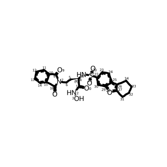 O=C(NO)[C@@H](CCN1C(=O)c2ccccc2C1=O)NS(=O)(=O)c1ccc2c3c(oc2c1)CCCC3